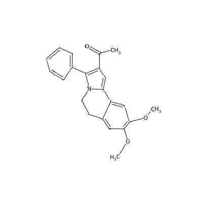 COc1cc2c(cc1OC)-c1cc(C(C)=O)c(-c3ccccc3)n1CC2